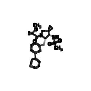 COC1(C(=O)N2CC3(CC3)[C@H](NS(C)(=O)=O)[C@@H]2Cc2cccc(-c3ccccc3)c2)CC1